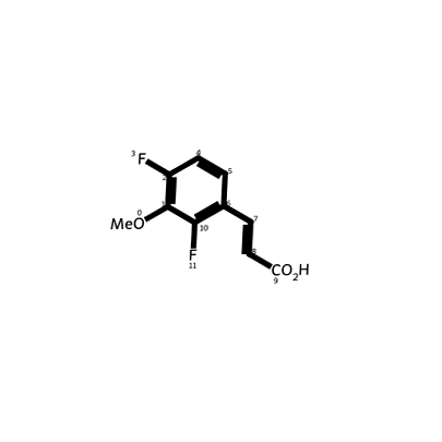 COc1c(F)ccc(C=CC(=O)O)c1F